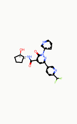 O=C(N[C@@H]1CCC[C@H]1O)c1cc(-c2ccc(C(F)F)nc2)nn(-c2cccnc2)c1=O